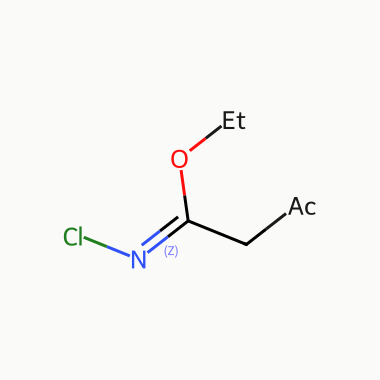 CCO/C(CC(C)=O)=N\Cl